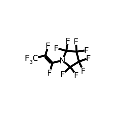 FC(=C(F)C(F)(F)F)N1C(F)(F)C(F)(F)C(F)(F)C1(F)F